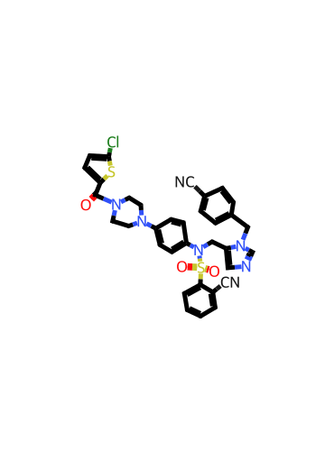 N#Cc1ccc(Cn2cncc2CN(c2ccc(N3CCN(C(=O)c4ccc(Cl)s4)CC3)cc2)S(=O)(=O)c2ccccc2C#N)cc1